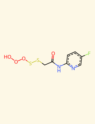 O=C(CSSOOO)Nc1ccc(F)cn1